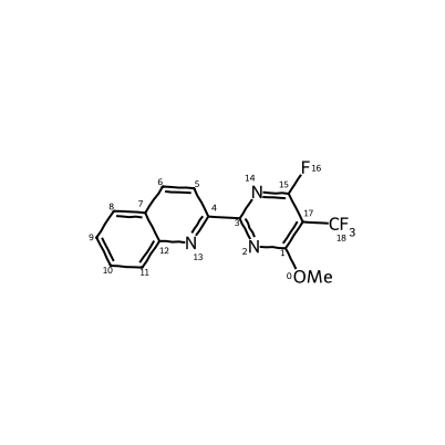 COc1nc(-c2ccc3ccccc3n2)nc(F)c1C(F)(F)F